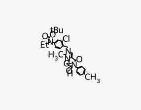 CCN(C(=O)OC(C)(C)C)c1ccc(Cn2cc(C(=O)N(c3ccc(C)cc3)[SH](=O)=O)nc2C)c(Cl)c1